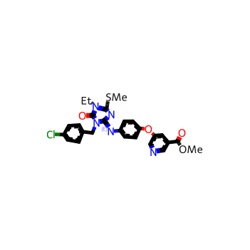 CCn1c(SC)n/c(=N\c2ccc(Oc3cncc(C(=O)OC)c3)cc2)n(Cc2ccc(Cl)cc2)c1=O